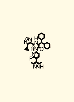 Cc1n[nH]c(C)c1-c1ccc(NC(=O)[C@@H](NC(=O)c2nonc2C2CC2)C(C2CCCCC2)C2CCCCC2)nc1F